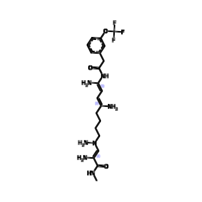 CNC(=O)/C(N)=C/N(N)CCCC/C(N)=C/C=C(\N)NC(=O)Cc1cccc(OC(F)(F)F)c1